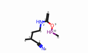 C=C(NCCC(C)C#N)OPC